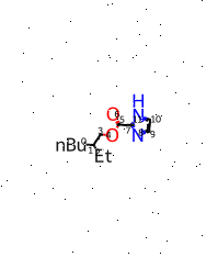 CCCCC(CC)COC(=O)c1ncc[nH]1